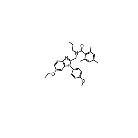 CCCN(Cc1nc2ccc(OCC)cc2n1-c1ccc(OC)cc1)C(=O)c1c(C)cc(C)cc1C